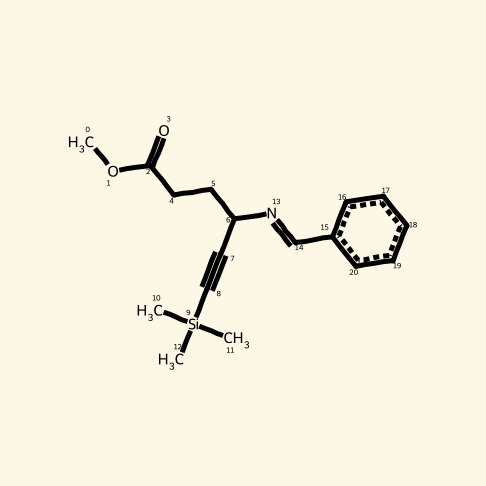 COC(=O)CCC(C#C[Si](C)(C)C)N=Cc1ccccc1